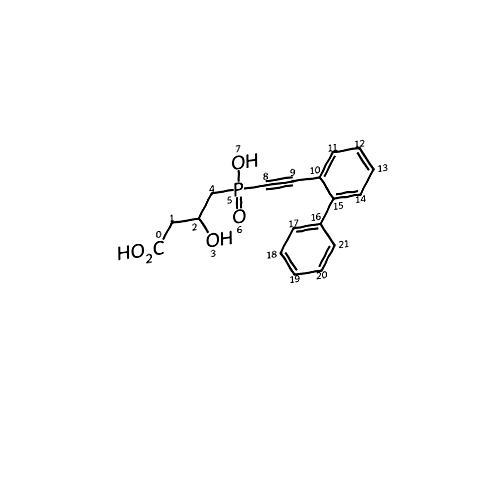 O=C(O)CC(O)CP(=O)(O)C#Cc1ccccc1-c1ccccc1